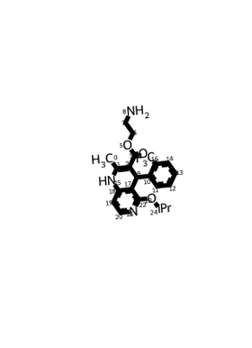 CC1=C(C(=O)OCCN)C(c2ccccc2C(F)(F)F)c2c(ccnc2OC(C)C)N1